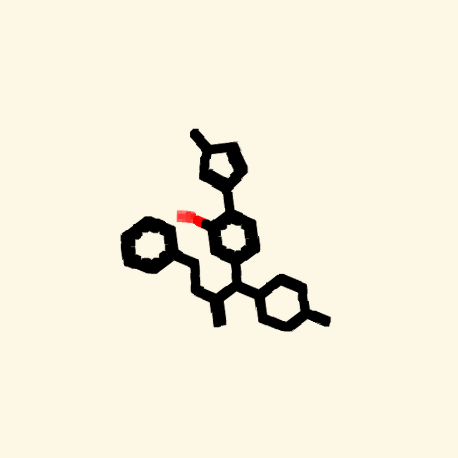 C=C(CCc1ccccc1)C(c1ccc(C2=CC(C)C=C2)c(O)c1)C1CCC(C)CC1